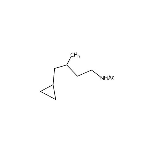 CC(=O)NCCC(C)CC1CC1